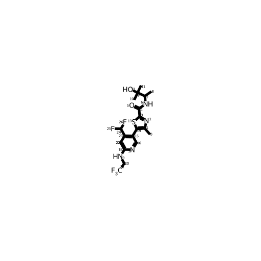 Cc1nc(C(=O)NC(C)C(C)(C)O)sc1-c1cnc(NCC(F)(F)F)cc1C(F)F